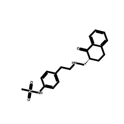 CS(=O)(=O)Nc1ccc(CCNC[C@H]2CCc3ccccc3C2=O)cc1